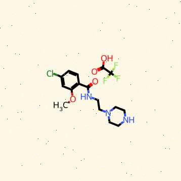 COc1cc(Cl)ccc1C(=O)NCCN1CCNCC1.O=C(O)C(F)(F)F